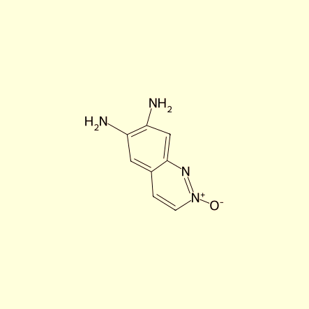 Nc1cc2cc[n+]([O-])nc2cc1N